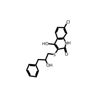 O=c1[nH]c2cc(Cl)ccc2c(O)c1SCC(O)Cc1ccccc1